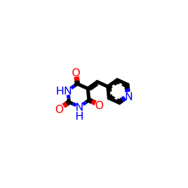 O=C1NC(=O)C(=Cc2ccncc2)C(=O)N1